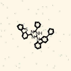 C1=CC(C2=NC(n3c4ccccc4c4ccc(-c5ccccc5)cc43)NC(c3ccccc3)=N2)C2Sc3ccccc3C2=C1